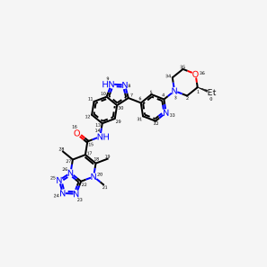 CC[C@H]1CN(c2cc(-c3n[nH]c4ccc(NC(=O)C5=C(C)N(C)c6nnnn6C5C)cc34)ccn2)CCO1